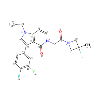 CC1(F)CN(C(=O)Cn2ccc3c(c(-c4ccc(F)c(Cl)c4)cn3CC(F)(F)F)c2=O)C1